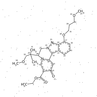 CCOC(=O)c1cn2c(cc1=O)-c1c3cccc(OCCCOC)c3nn1CC2C(C)(C)COC